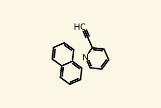 C#Cc1ccccn1.c1ccc2ccccc2c1